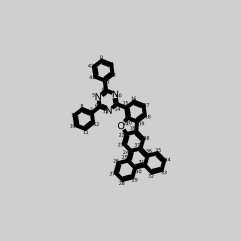 c1ccc(-c2nc(-c3ccccc3)nc(-c3cccc4c3oc3cc5c6ccccc6c6ccccc6c5cc34)n2)cc1